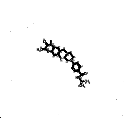 CC(C)NC(=O)c1ccc(N2CCN(Cc3cc4c(cc3F)OC(C)C(=O)N4)CC2)cc1